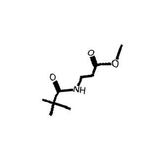 COC(=O)CCNC(=O)C(C)(C)C